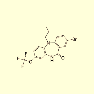 CCCN1c2ccc(OC(F)(F)F)cc2NC(=O)c2cc(Br)ccc21